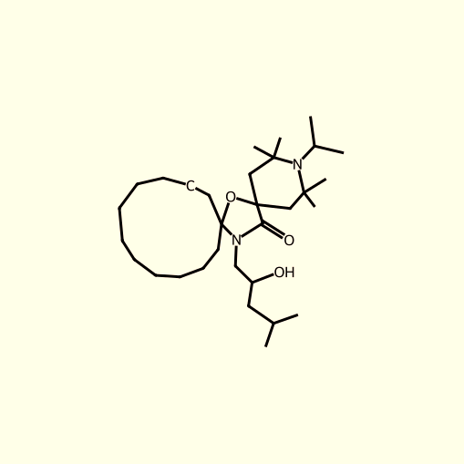 CC(C)CC(O)CN1C(=O)C2(CC(C)(C)N(C(C)C)C(C)(C)C2)OC12CCCCCCCCCCC2